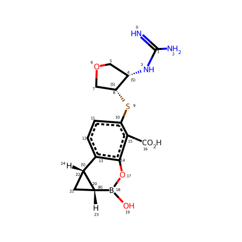 N=C(N)N[C@H]1COC[C@H]1Sc1ccc2c(c1C(=O)O)OB(O)[C@@H]1C[C@H]21